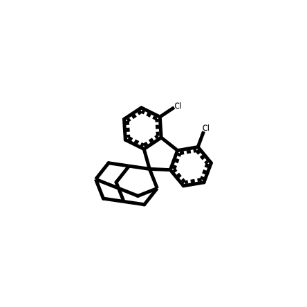 Clc1cccc2c1-c1c(Cl)cccc1C21C2CC3CC(C2)CC1C3